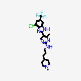 Cc1nc(NCCCC2CCN(C)CC2)ncc1-c1nc2c(Cl)cc(C(F)(F)F)cc2[nH]1